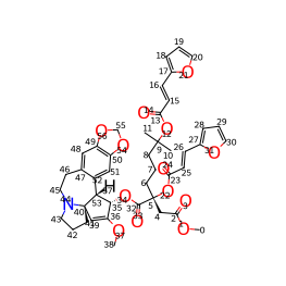 COC(=O)C[C@@](CCCC(C)(C)OC(=O)/C=C/c1ccco1)(OC(=O)/C=C/c1ccco1)C(=O)O[C@@H]1C(OC)=C[C@]23CCCN2CCc2cc4c(cc2[C@H]13)OCO4